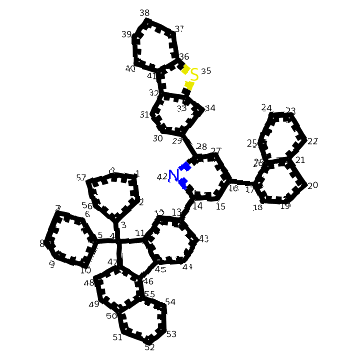 c1ccc(C2(c3ccccc3)c3cc(-c4cc(-c5cccc6ccccc56)cc(-c5ccc6c(c5)sc5ccccc56)n4)ccc3-c3c2ccc2ccccc32)cc1